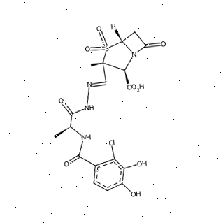 C[C@H](NC(=O)c1ccc(O)c(O)c1Cl)C(=O)N/N=C/[C@@]1(C)[C@H](C(=O)O)N2C(=O)C[C@H]2S1(=O)=O